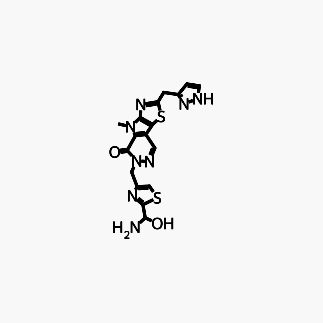 Cn1c2nc(Cc3cc[nH]n3)sc2c2cnn(Cc3csc(C(N)O)n3)c(=O)c21